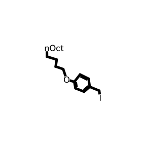 CCCCCCCCCCCCOc1ccc(CI)cc1